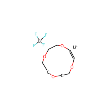 C1=C\OCCOCCOCCO/1.F[B-](F)(F)F.[Li+]